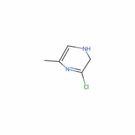 CC1=CNCC(Cl)=N1